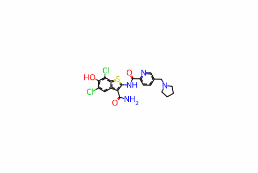 NC(=O)c1c(NC(=O)c2ccc(CN3CCCC3)cn2)sc2c(Cl)c(O)c(Cl)cc12